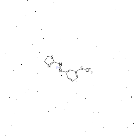 FC(F)(F)Sc1cccc(/N=N/C2=NCCS2)c1